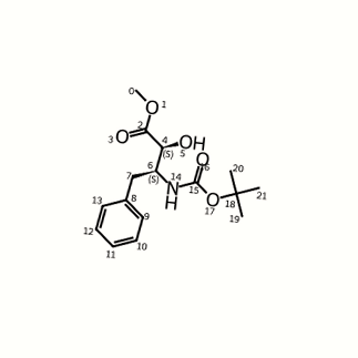 COC(=O)[C@@H](O)[C@H](Cc1ccccc1)NC(=O)OC(C)(C)C